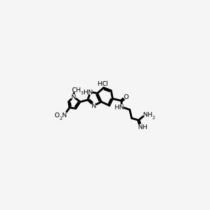 Cl.Cn1cc([N+](=O)[O-])cc1-c1nc2cc(C(=O)NCCC(=N)N)ccc2[nH]1